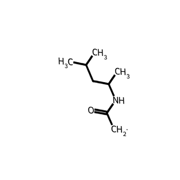 [CH2]C(=O)NC(C)CC(C)C